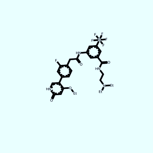 CCOc1cc(=O)[nH]cc1-c1ccc(CC(=O)Nc2cc(C(=O)NCCN(CC)CC)cc(S(F)(F)(F)(F)F)c2)c(F)c1